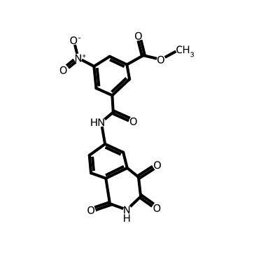 COC(=O)c1cc(C(=O)Nc2ccc3c(c2)C(=O)C(=O)NC3=O)cc([N+](=O)[O-])c1